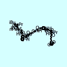 CCCO[C@H](CC(C(C)C)N(CCC)C(=O)C[C@@H](C)CC)c1nc(C(=O)N[C@H]2Cc3ccccc3[C@H](C(=O)NNC(=O)OCCOCCNC(=O)OCc3ccc(NC(=O)CNC(=O)C(NC(=O)CCCCCN4C(=O)C=CC4=O)C(C)C)cc3)C2)cs1